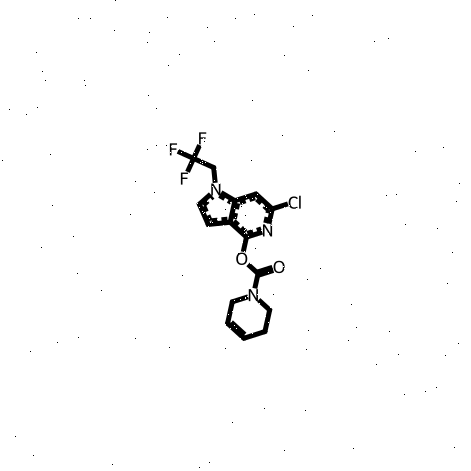 O=C(Oc1nc(Cl)cc2c1ccn2CC(F)(F)F)N1CC=CCC1